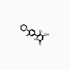 CCc1c(O)cc(=O)[nH]c1-c1ccc(N2CCCCC2)c(C)c1